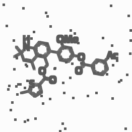 COc1cc(OC(=O)c2cccc(C(C)=O)c2)ccc1-c1ccc2c(c1COC(=O)c1ccc(C)s1)C(C)=CC(C)(C)N2